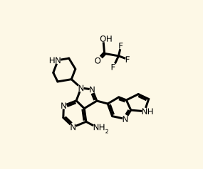 Nc1ncnc2c1c(-c1cnc3[nH]ccc3c1)nn2C1CCNCC1.O=C(O)C(F)(F)F